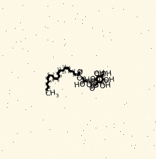 CCCCC/C=C\C/C=C\C/C=C\C/C=C\CCCC(=O)OC[C@@H](O)COP(=O)(O)OC1[C@H](O)[C@H](O)C(O)[C@H](O)[C@H]1O